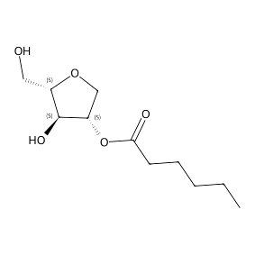 CCCCCC(=O)O[C@H]1CO[C@@H](CO)[C@@H]1O